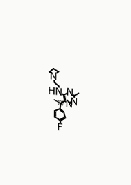 Cc1nnc([C@H](C)c2ccc(F)cc2)c(NCCN2CCC2)n1